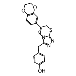 Oc1ccc(Cc2nnc3n2N=C(c2ccc4c(c2)OCCO4)CS3)cc1